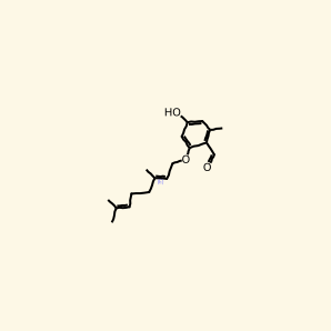 CC(C)=CCC/C(C)=C/COc1cc(O)cc(C)c1C=O